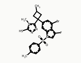 Cc1ccc(S(=O)(=O)n2cc(F)c3c(Br)cc(C4(c5nnc(S)n5C)CC(C)C4)cc32)cc1